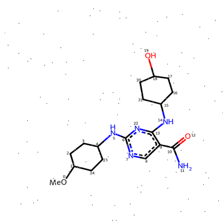 COC1CCC(Nc2ncc(C(N)=O)c(NC3CCC(O)CC3)n2)CC1